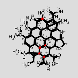 CCC1C2(NC)CC(C(=O)O)C34C5=C6c7c8c(nc9c7C7%10C(=C(C)C9(C)C(C(=O)O)C7C(=O)O)C=C(C)c7c%10c6c6c3c2cc(N(C)C)c6c7OC)CSC8C52C(C)=NC14C(C(=O)O)C2C(=O)O